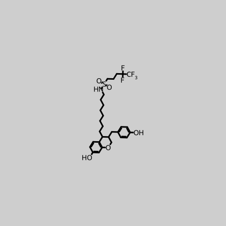 O=S(=O)(CCCC(F)(F)C(F)(F)F)NCCCCCCCCC1c2ccc(O)cc2OCC1Cc1ccc(O)cc1